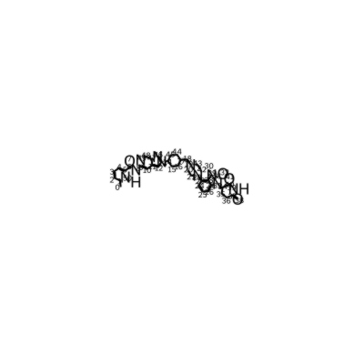 Cc1cccc(C(=O)Nc2cc3cn(C4CCC(CN5CCN(c6cccc7c6n(C)c(=O)n7C6CCC(=O)NC6=O)CC5)CC4)nc3cn2)n1